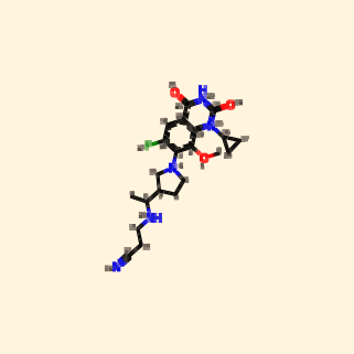 COc1c(N2CCC(C(C)NCCC#N)C2)c(F)cc2c(=O)[nH]c(=O)n(C3CC3)c12